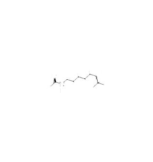 CC(=O)NCCCCC[C@H](C)C(C)C